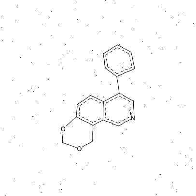 c1ccc(-c2cncc3c4c(ccc23)OCOC4)cc1